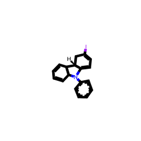 IC1=CC=C2[C@@H](C1)C1C=CC=CC1N2c1ccccc1